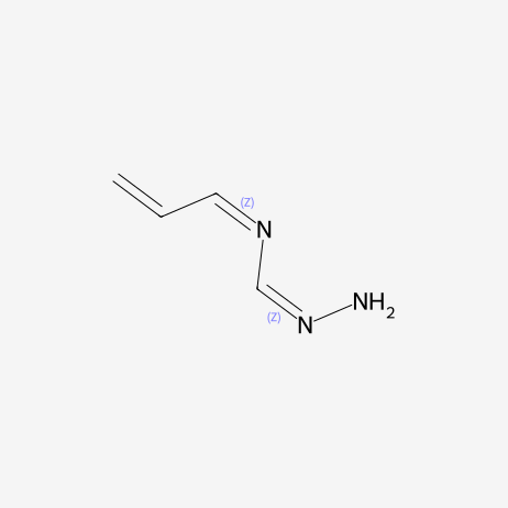 C=C/C=N\C=N/N